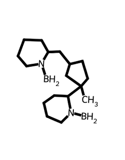 BN1CCCCC1CC1CCC(C)(C2CCCCN2B)C1